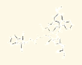 CCC(=O)OC1C[C@@H](COC(c2ccccc2)(c2ccc(OC)cc2)c2ccc(OC)cc2)N(C(=O)CCCSSCCN2C(=O)c3ccccc3C2=O)C1